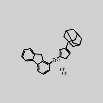 C1=[C]([Zr+2][c]2cccc3c2Cc2ccccc2-3)CC=C1C12CC3CC(CC(C3)C1)C2.[Cl-].[Cl-]